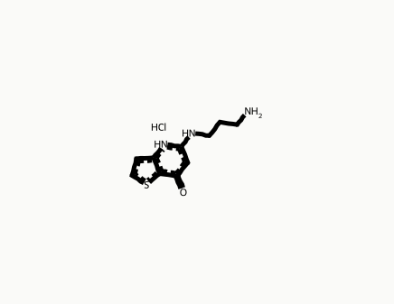 Cl.NCCCNc1cc(=O)c2sccc2[nH]1